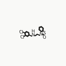 O=c1sc2ccccc2n1CCCNCc1ccc(Cl)c(Cl)c1